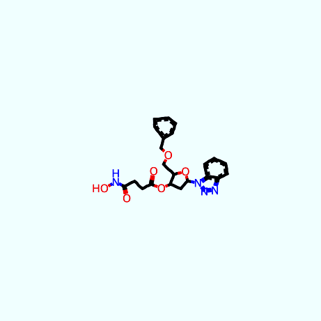 O=C(CCC(=O)OC1CC(n2nnc3ccccc32)OC1COCc1ccccc1)NO